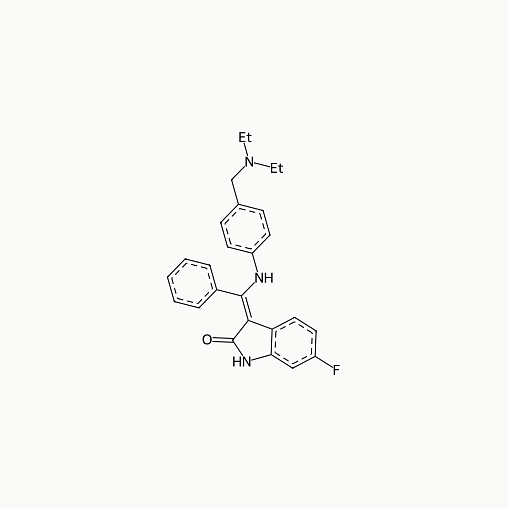 CCN(CC)Cc1ccc(NC(=C2C(=O)Nc3cc(F)ccc32)c2ccccc2)cc1